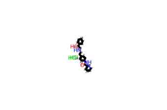 Cl.Cl.O=C(Nc1ccc(CCNC[C@H](O)c2ccccc2)cc1)c1ccccn1